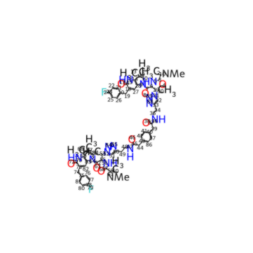 CN[C@@H](C)C(=O)N[C@H](C(=O)N1CC(C)(C)c2[nH]c(=O)c(Cc3ccc(F)cc3)cc21)[C@H](C)n1cc(CCNC(=O)Cc2ccc(CC(=O)NCCc3cn([C@H](C)[C@@H](NC(=O)[C@@H](C)NC)C(=O)N4CC(C)(C)c5[nH]c(=O)c(Cc6ccc(F)cc6)cc54)nn3)cc2)nn1